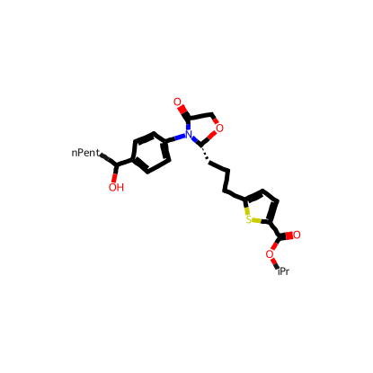 CCCCCC(O)c1ccc(N2C(=O)CO[C@@H]2CCCc2ccc(C(=O)OC(C)C)s2)cc1